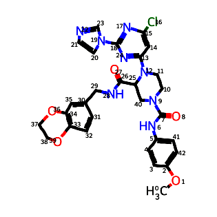 COc1ccc(NC(=O)N2CCN(c3cc(Cl)nc(-n4ccnc4)n3)C(C(=O)NCc3ccc4c(c3)OCCO4)C2)cc1